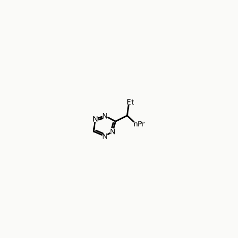 CCCC(CC)c1nncnn1